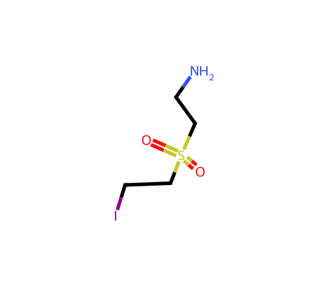 NCCS(=O)(=O)CCI